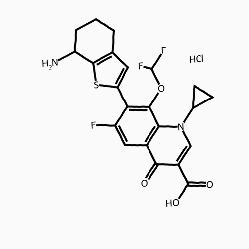 Cl.NC1CCCc2cc(-c3c(F)cc4c(=O)c(C(=O)O)cn(C5CC5)c4c3OC(F)F)sc21